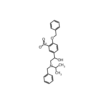 CC(C)N(Cc1ccccc1)CC(O)c1ccc(OCc2ccccc2)c([N+](=O)[O-])c1